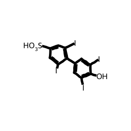 O=S(=O)(O)c1cc(I)c(-c2cc(I)c(O)c(I)c2)c(I)c1